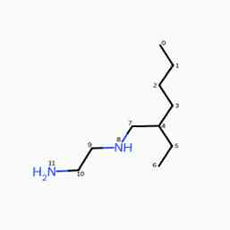 CCCCC(CC)CNCCN